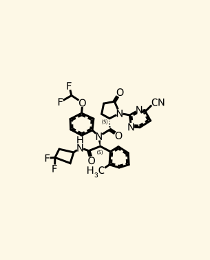 Cc1ccccc1[C@@H](C(=O)NC1CC(F)(F)C1)N(C(=O)[C@@H]1CCC(=O)N1c1nccc(C#N)n1)c1cccc(OC(F)F)c1